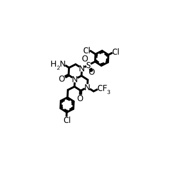 NC1CN(S(=O)(=O)c2ccc(Cl)cc2Cl)C2CN(CC(F)(F)F)C(=O)C(Cc3ccc(Cl)cc3)N2C1=O